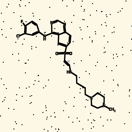 CN1CCN(CCCCN/C=C/S(=O)(=O)c2ccc3ncnc(Nc4ccc(F)c(Cl)c4)c3c2)CC1